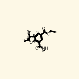 CCOC(=O)c1cc(C(=O)NC)c2oc(C)c(Br)c2c1